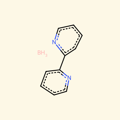 B.c1ccc(-c2ccccn2)nc1